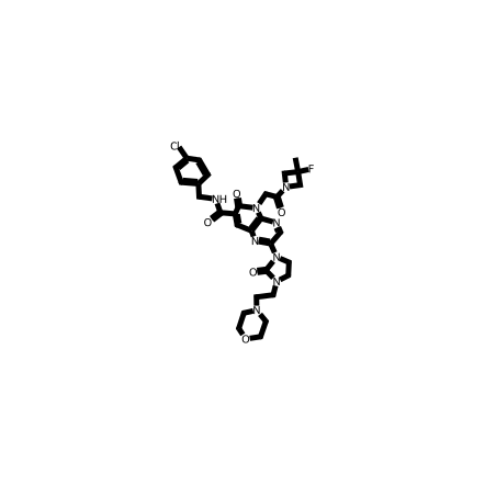 CC1(F)CN(C(=O)Cn2c(=O)c(C(=O)NCc3ccc(Cl)cc3)cc3nc(N4CCN(CCN5CCOCC5)C4=O)cnc32)C1